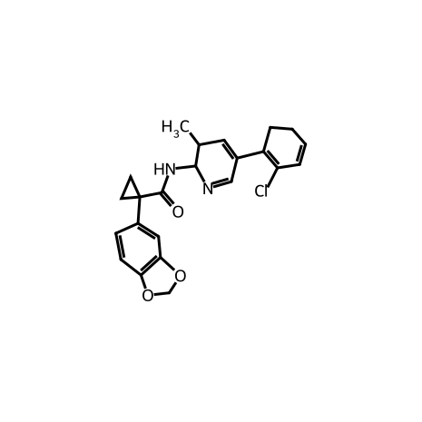 CC1C=C(C2=C(Cl)C=CCC2)C=NC1NC(=O)C1(c2ccc3c(c2)OCO3)CC1